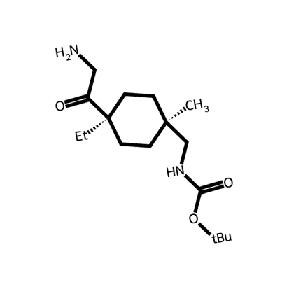 CC[C@]1(C(=O)CN)CC[C@@](C)(CNC(=O)OC(C)(C)C)CC1